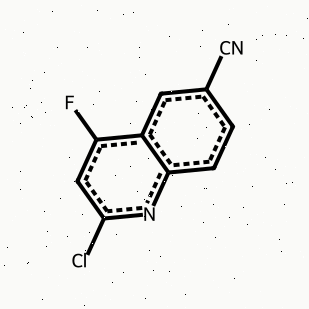 N#Cc1ccc2nc(Cl)cc(F)c2c1